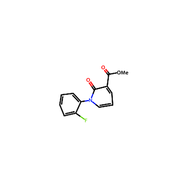 COC(=O)c1cccn(-c2ccccc2F)c1=O